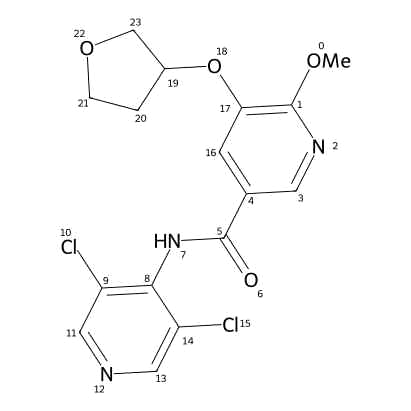 COc1ncc(C(=O)Nc2c(Cl)cncc2Cl)cc1OC1CCOC1